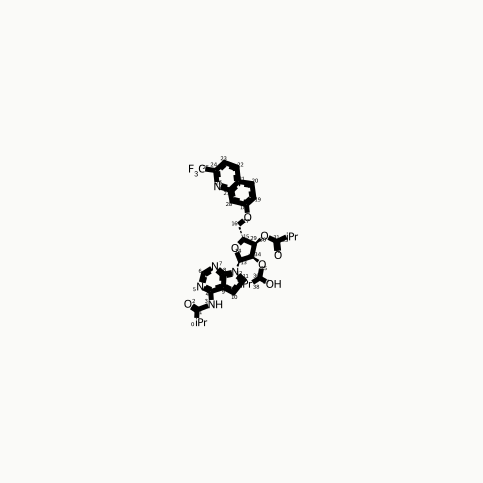 CC(C)C(=O)Nc1ncnc2c1ccn2[C@@H]1O[C@H](COc2ccc3ccc(C(F)(F)F)nc3c2)[C@@H](OC(=O)C(C)C)[C@H]1OC(O)C(C)C